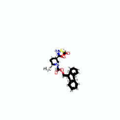 C[C@@H]1CC[C@@H](c2nsc(=O)o2)CN1C(=O)OCC1c2ccccc2-c2ccccc21